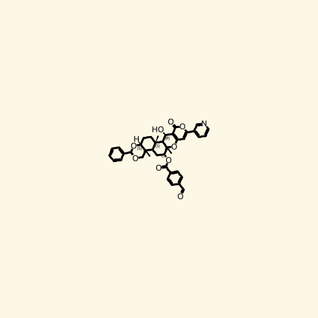 C[C@]12CC[C@@H]3OC(c4ccccc4)OC[C@@]3(C)C1C[C@H](OC(=O)c1ccc(C=O)cc1)[C@@]1(C)Oc3cc(-c4cccnc4)oc(=O)c3[C@H](O)C21